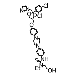 CCN(CCO)C(=S)Nc1ccc(N2CCN(c3ccc(OCC4COC(Cn5ccnc5)(c5ccc(Cl)cc5Cl)O4)cc3)CC2)cc1